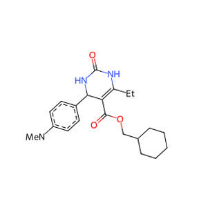 CCC1=C(C(=O)OCC2CCCCC2)C(c2ccc(NC)cc2)NC(=O)N1